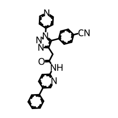 N#Cc1ccc(-c2c(CC(=O)Nc3ccc(-c4ccccc4)cn3)nnn2-c2ccncc2)cc1